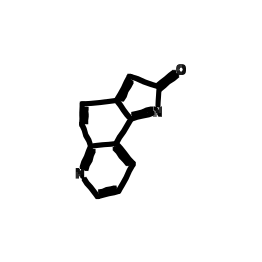 O=C1C=c2ccc3ncccc3c2=N1